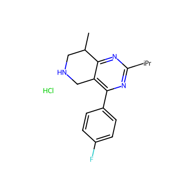 CC(C)c1nc(-c2ccc(F)cc2)c2c(n1)C(C)CNC2.Cl